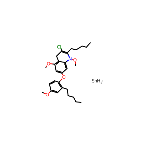 CCCCCC1=C(Cl)Cc2c(OC)cc(Oc3ccc(OC)cc3CCCCC)cc2N1OC.[SnH2]